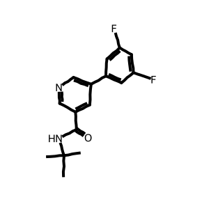 CC(C)(C)NC(=O)c1cncc(-c2cc(F)cc(F)c2)c1